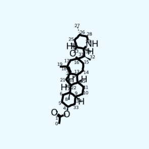 CC(=O)O[C@H]1CC[C@@]2(C)[C@H](CC[C@H]3[C@@H]4CCC5(CC(C)=C4C[C@@H]32)O[C@@H]2C[C@H](C)CN[C@H]2[C@H]5C)C1